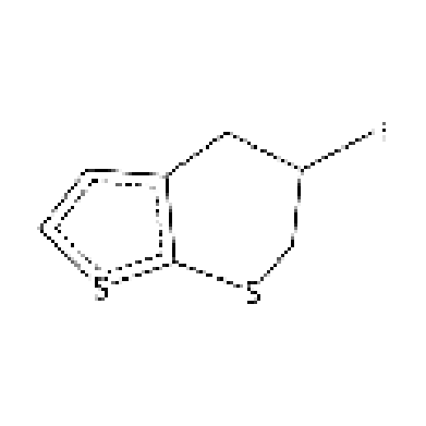 [C]C1CSc2sccc2C1